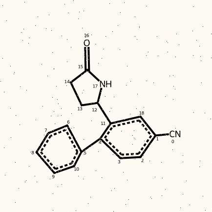 N#Cc1ccc(-c2ccccc2)c(C2CCC(=O)N2)c1